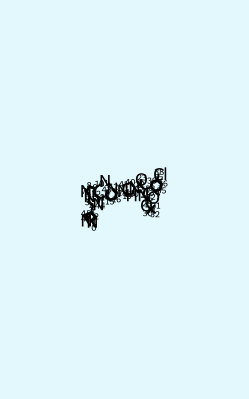 Cn1cc(-c2cn3ncc(C#N)c3c(-c3ccc(N4CCN(C(=O)C(NC(=O)OC(C)(C)C)c5cccc(Cl)c5)CC4)nc3)n2)cn1